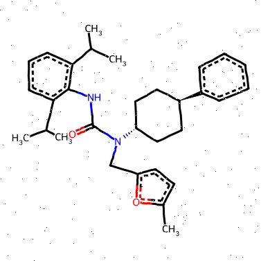 Cc1ccc(CN(C(=O)Nc2c(C(C)C)cccc2C(C)C)[C@H]2CC[C@H](c3ccccc3)CC2)o1